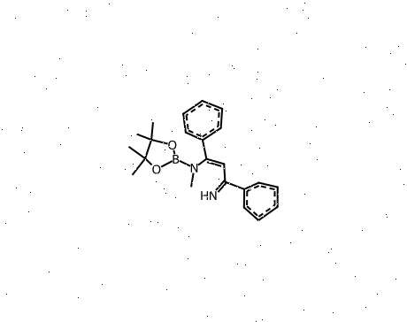 CN(B1OC(C)(C)C(C)(C)O1)/C(=C\C(=N)c1ccccc1)c1ccccc1